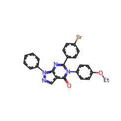 CCOc1ccc(-n2c(-c3ccc(Br)cc3)nc3c(cnn3-c3ccccc3)c2=O)cc1